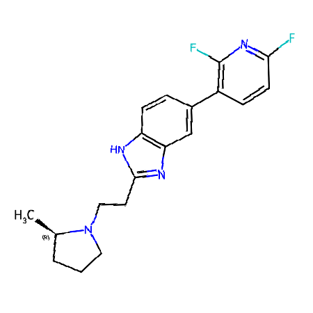 C[C@@H]1CCCN1CCc1nc2cc(-c3ccc(F)nc3F)ccc2[nH]1